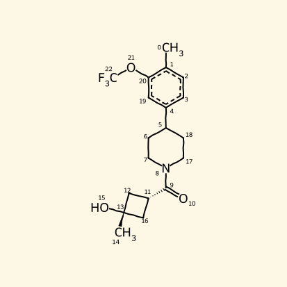 Cc1ccc(C2CCN(C(=O)[C@H]3C[C@@](C)(O)C3)CC2)cc1OC(F)(F)F